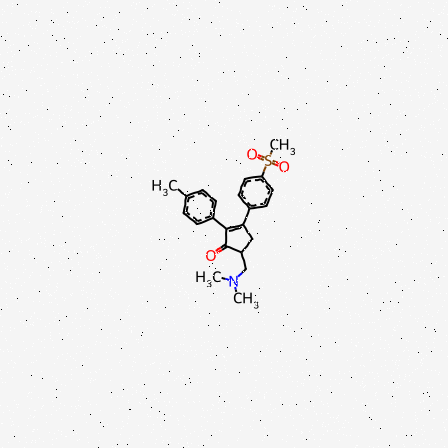 Cc1ccc(C2=C(c3ccc(S(C)(=O)=O)cc3)CC(CN(C)C)C2=O)cc1